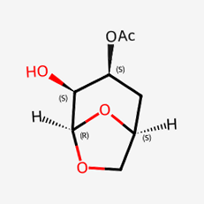 CC(=O)O[C@H]1C[C@H]2CO[C@H](O2)[C@H]1O